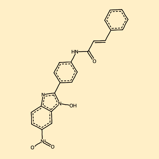 O=C(/C=C/c1ccccc1)Nc1ccc(-c2nc3ccc([N+](=O)[O-])cc3n2O)cc1